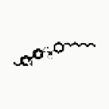 CCCCCCCC[C@H]1CC[C@H](C(=O)Oc2ccc(-c3ccc(CC)cn3)cc2)CC1